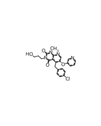 Cn1c(=O)n(CCCO)c(=O)c2c(Cc3ccc(Cl)cc3)c(Oc3cccnc3)cnc21